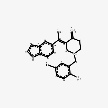 C=C1CCN(Cc2cc(Cl)ccc2C(F)(F)F)C/C1=C(/CCCC)c1ccc2[nH]ccc2c1